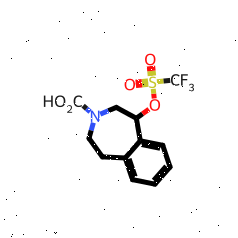 O=C(O)N1CCc2ccccc2C(OS(=O)(=O)C(F)(F)F)C1